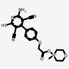 C[N+]1(OC(=O)COc2ccc(-c3c(C#N)c(N)nc(S)c3C#N)cc2)CCOCC1